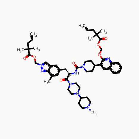 C=CCC(C)(C)C(=O)OCOc1nc2ccccc2cc1C1CCN(C(=O)N[C@H](Cc2cc(C)c3nn(COC(=O)C(C)(C)CC=C)cc3c2)C(=O)N2CCN(C3CCN(C)CC3)CC2)CC1